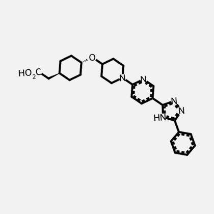 O=C(O)C[C@H]1CC[C@H](OC2CCN(c3ccc(-c4nnc(-c5ccccc5)[nH]4)cn3)CC2)CC1